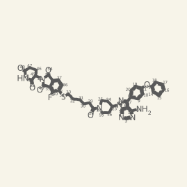 Nc1ncnc2c1c(-c1ccc(Oc3ccccc3)cc1)nn2C1CCN(C(=O)CCCCCSc2ccc3c(c2F)C(=O)N(C2CCC(=O)NC2=O)C3=O)CC1